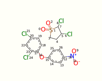 O=S1(=O)CCC(Cl)C1Cl.O=[N+]([O-])c1ccc(Oc2ccc(Cl)cc2Cl)cc1